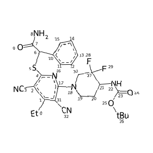 CCc1c(C#N)c(SC(C(N)=O)c2ccccc2)nc(N2CCC(NC(=O)OC(C)(C)C)C(F)(F)C2)c1C#N